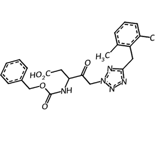 Cc1cccc(C)c1Cc1nnn(CC(=O)C(CC(=O)O)NC(=O)OCc2ccccc2)n1